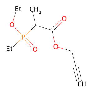 C#CCOC(=O)C(C)P(=O)(CC)OCC